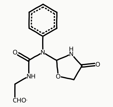 O=[C]CNC(=O)N(c1ccccc1)C1NC(=O)CO1